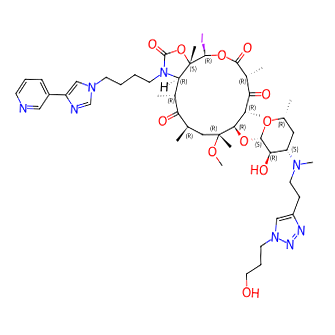 CO[C@]1(C)C[C@@H](C)C(=O)[C@H](C)[C@H]2N(CCCCn3cnc(-c4cccnc4)c3)C(=O)O[C@]2(C)[C@@H](I)OC(=O)[C@H](C)C(=O)[C@H](C)[C@H]1O[C@@H]1O[C@H](C)C[C@H](N(C)CCc2cn(CCCO)nn2)[C@H]1O